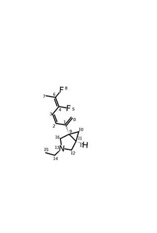 C=C(/C=C\C(F)=C(/C)F)[C@]12C[C@H]1CN(CC)C2